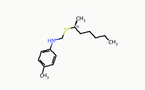 CCCCC[C@H](C)SCNc1ccc(C)cc1